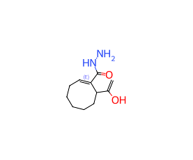 C=C(O)C1CCCCC/C=C\1C(=O)NN